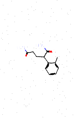 Cc1ccccc1C(CCC(N)=O)C(N)=O